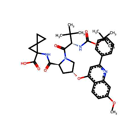 COc1ccc2c(O[C@@H]3C[C@@H](C(=O)NC4(C(=O)O)CC45CC5)N(C(=O)[C@@H](NC(=O)OC(C)(C)C)C(C)(C)C)C3)cc(-c3ccccc3)nc2c1